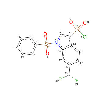 O=S(=O)(Cl)c1cn(S(=O)(=O)c2ccccc2)c2cc(C(F)F)ccc12